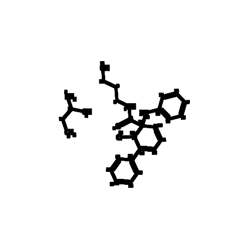 CCC(N)O.O=C(NCCCO)C1(Nc2ccccc2)N=CC=C(c2ccncc2)N1Cl